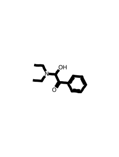 CCN(CC)C(O)C(=O)c1ccccc1